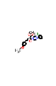 CCOc1ccc(CCC[C@@H](C(=O)N2CCN(c3ccccc3F)CC2)[C@@H](C=O)OC)cc1